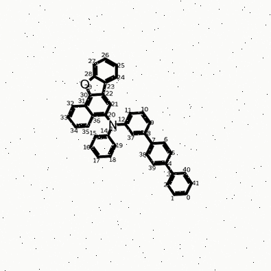 c1ccc(-c2ccc(-c3cccc(N(c4ccccc4)c4cc5c6ccccc6oc5c5ccccc45)c3)cc2)cc1